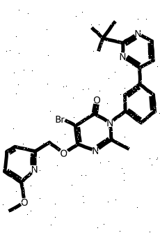 COc1cccc(COc2nc(C)n(-c3cccc(-c4ccnc(C(C)(C)C)n4)c3)c(=O)c2Br)n1